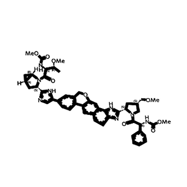 COC[C@H]1C[C@@H](c2nc3ccc4cc5c(cc4c3[nH]2)OCc2cc(-c3cnc([C@@H]4C[C@H]6C[C@H]6N4C(=O)[C@@H](NC(=O)OC)[C@@H](C)OC)[nH]3)ccc2-5)N(C(=O)[C@H](NC(=O)OC)c2ccccc2)C1